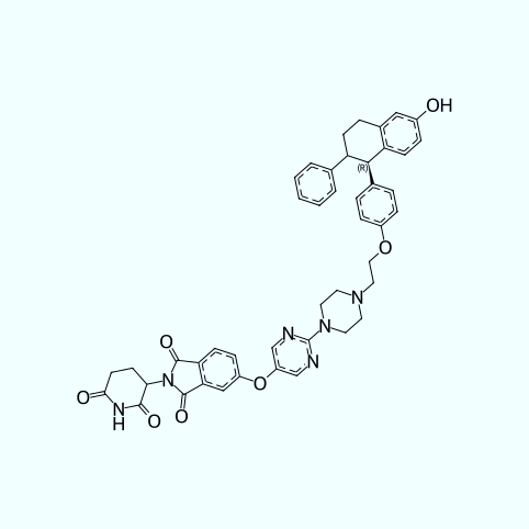 O=C1CCC(N2C(=O)c3ccc(Oc4cnc(N5CCN(CCOc6ccc([C@@H]7c8ccc(O)cc8CCC7c7ccccc7)cc6)CC5)nc4)cc3C2=O)C(=O)N1